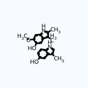 COc1cc2[nH]c(C)c(C)c2cc1O.Cc1c[nH]c2ccc(O)cc12